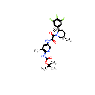 Cc1cc(NC(=O)C(=O)N2C[C@@H](C)CC[C@@]2(C)c2cc(F)c(F)c(F)c2)cnc1NC(=O)OC(C)(C)C